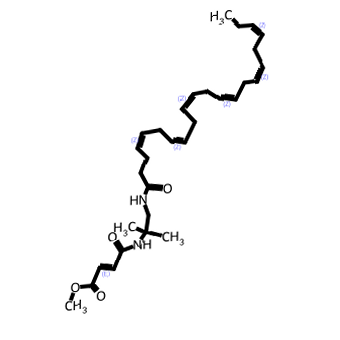 CC/C=C\C/C=C\C/C=C\C/C=C\C/C=C\C/C=C\CCC(=O)NCC(C)(C)NC(=O)/C=C/C(=O)OC